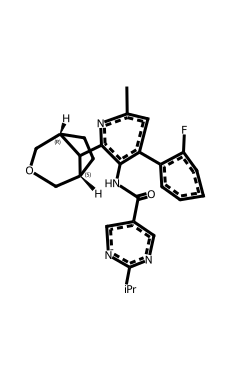 Cc1cc(-c2ccccc2F)c(NC(=O)c2cnc(C(C)C)nc2)c(C2[C@@H]3CC[C@H]2COC3)n1